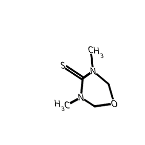 CN1COCN(C)C1=S